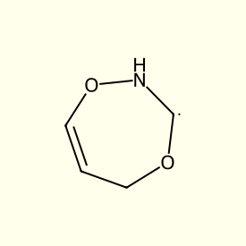 [CH]1NOC=CCO1